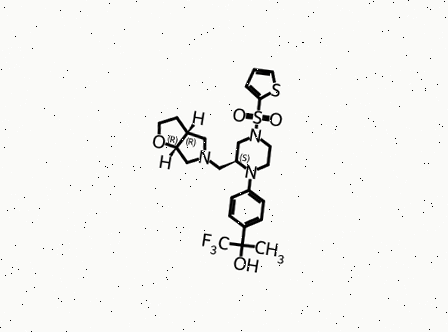 CC(O)(c1ccc(N2CCN(S(=O)(=O)c3cccs3)C[C@@H]2CN2C[C@H]3CCO[C@H]3C2)cc1)C(F)(F)F